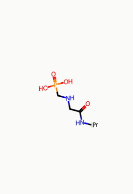 CC(C)NC(=O)CNCP(=O)(O)O